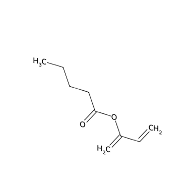 C=CC(=C)OC(=O)CCCC